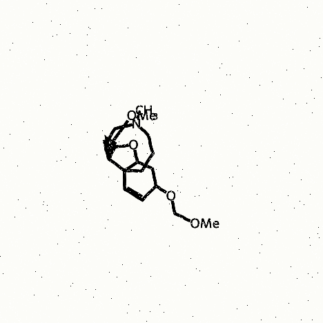 COCOC1C=CC23CCCN(C)Cc4ccc(OC)c(c42)OC3C1